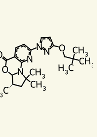 C[C@H]1CC(C)(C)N2c3nc(-n4ccc(OCC(C)(C)C)n4)ccc3C(=O)OC12